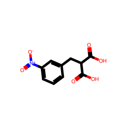 O=C(O)C(Cc1cccc([N+](=O)[O-])c1)C(=O)O